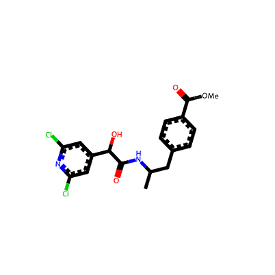 COC(=O)c1ccc(CC(C)NC(=O)C(O)c2cc(Cl)nc(Cl)c2)cc1